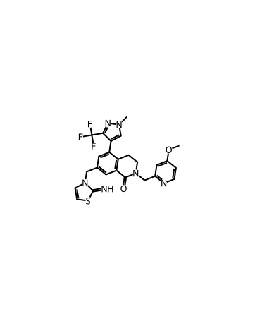 COc1ccnc(CN2CCc3c(cc(Cn4ccsc4=N)cc3-c3cn(C)nc3C(F)(F)F)C2=O)c1